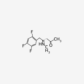 CN[C@@H](CC(C)=O)Cc1cc(F)c(F)cc1F